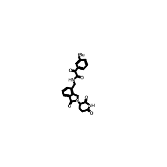 CC(C)(C)c1cccc(C(=O)C(=O)NCc2cccc3c2CN(C2CCC(=O)NC2=O)C3=O)c1